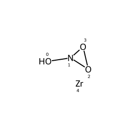 On1oo1.[Zr]